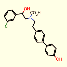 O=C(O)N(CCc1ccc(-c2ccc(O)cc2)cc1)CC(O)c1cccc(Cl)c1